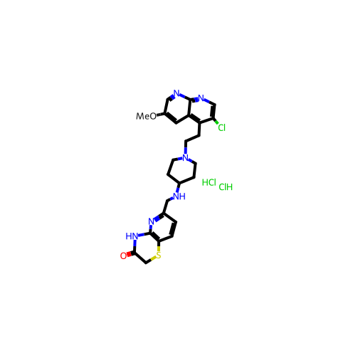 COc1cnc2ncc(Cl)c(CCN3CCC(NCc4ccc5c(n4)NC(=O)CS5)CC3)c2c1.Cl.Cl